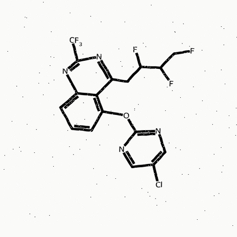 FCC(F)C(F)Cc1nc(C(F)(F)F)nc2cccc(Oc3ncc(Cl)cn3)c12